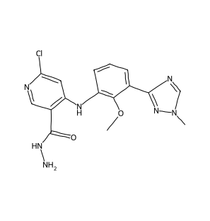 COc1c(Nc2cc(Cl)ncc2C(=O)NN)cccc1-c1ncn(C)n1